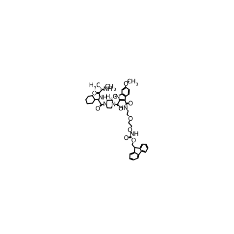 CN[C@@H](C)C(=O)NC(C(=O)N1CCN(C(=O)c2c(C(=O)NCCOCCONC(=O)OCC3c4ccccc4-c4ccccc43)c3ccc(OC)cc3n2C)CC1)C1CCCCC1